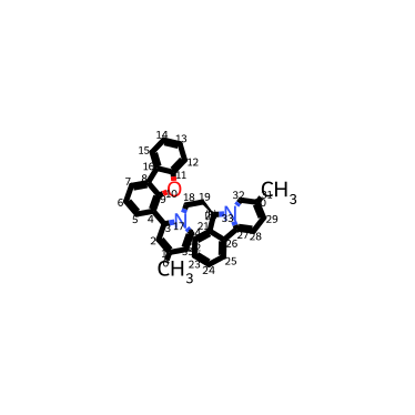 CC1=CC(c2cccc3c2oc2ccccc23)N(CC[C@@H]2c3ccccc3C3=CC=C(C)CN32)C=C1